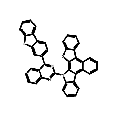 c1ccc2c(-c3ccc4c(c3)sc3ccccc34)nc(-n3c4ccccc4c4c5ccccc5c5c6ccccc6sc5c43)nc2c1